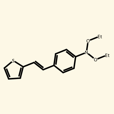 CCON(OCC)c1ccc(C=Cc2cccs2)cc1